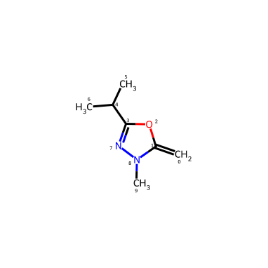 C=C1OC(C(C)C)=NN1C